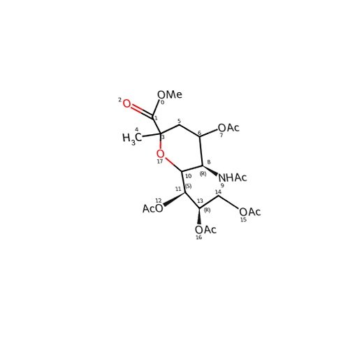 COC(=O)C1(C)CC(OC(C)=O)[C@@H](NC(C)=O)C([C@H](OC(C)=O)[C@@H](COC(C)=O)OC(C)=O)O1